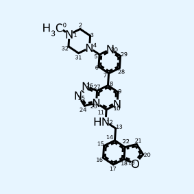 CN1CCN(c2cc(-c3cnc(NCc4cccc5occc45)n4cnnc34)ccn2)CC1